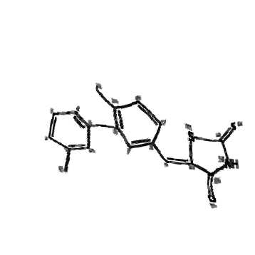 Cc1cccc(-c2cc(/C=C3\SC(=S)NC3=O)ccc2C)c1